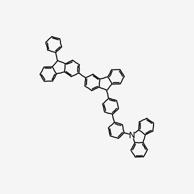 c1ccc(C2c3ccccc3-c3cc(-c4ccc5c(c4)-c4ccccc4C5c4ccc(-c5cccc(-n6c7ccccc7c7ccccc76)c5)cc4)ccc32)cc1